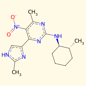 Cc1nc(-c2nc(N[C@@H]3CCCC[C@H]3C)nc(C)c2[N+](=O)[O-])c[nH]1